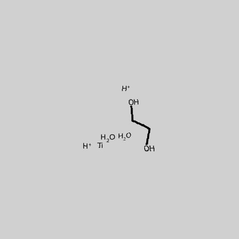 O.O.OCCO.[H+].[H+].[Ti]